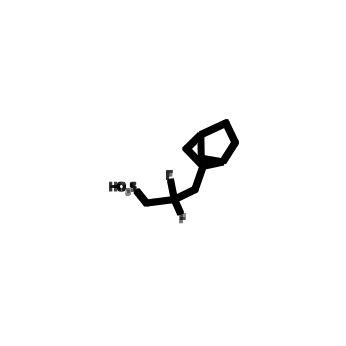 O=S(=O)(O)CC(F)(F)CC1CC2CCC1C2